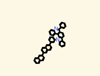 c1ccc(-c2nc3ccccc3c3c2ccc2c4ccccc4n(-c4cccc(-c5ccc6cc(-c7ccc8ccccc8c7)ccc6c5)c4)c23)cc1